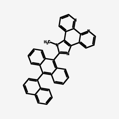 Cn1c(-c2c3ccccc3c(-c3cccc4ccccc34)c3ccccc23)nc2c3cccnc3c3ncccc3c21